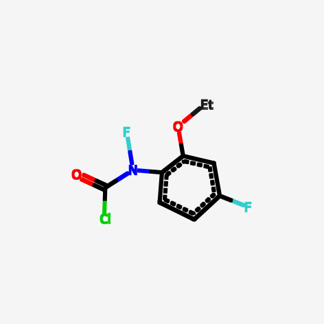 CCOc1cc(F)ccc1N(F)C(=O)Cl